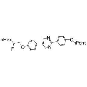 CCCCCCC(F)COc1ccc(-c2cnc(-c3ccc(OCCCCC)cc3)nc2)cc1